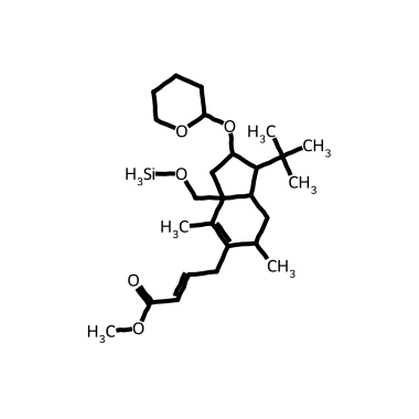 COC(=O)C=CCC1=C(C)C2(CO[SiH3])CC(OC3CCCCO3)C(C(C)(C)C)C2CC1C